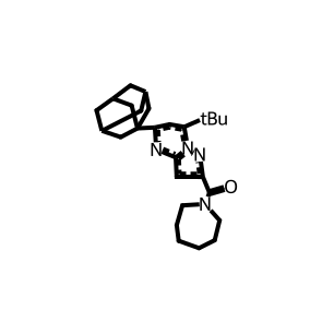 CC(C)(C)c1cc(C23CC4CC(CC(C4)C2)C3)nc2cc(C(=O)N3CCCCCC3)nn12